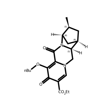 CCCCOc1c2n(cc(C(=O)OCC)c1=O)C[C@@H]1[C@H]3C[C@H]([C@@H](C)C3)N1C2=O